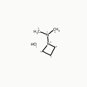 CN(C)N1CCC1.Cl